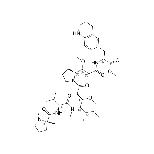 CC[C@H](C)[C@@H]([C@@H](CC(=O)N1CCC[C@H]1[C@H](OC)[C@@H](C)C(=O)N[C@@H](Cc1ccc2c(c1)CCCN2)C(=O)OC)OC)N(C)C(=O)[C@@H](NC(=O)[C@]1(C)CCCN1C)C(C)C